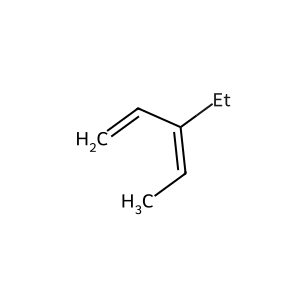 [CH2]CC(C=C)=CC